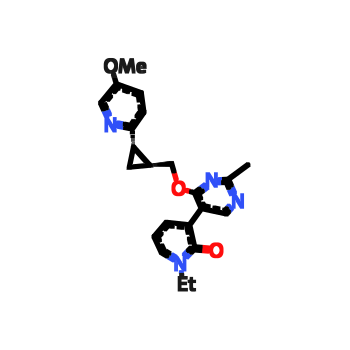 CCn1cccc(-c2cnc(C)nc2OC[C@H]2C[C@@H]2c2ccc(OC)cn2)c1=O